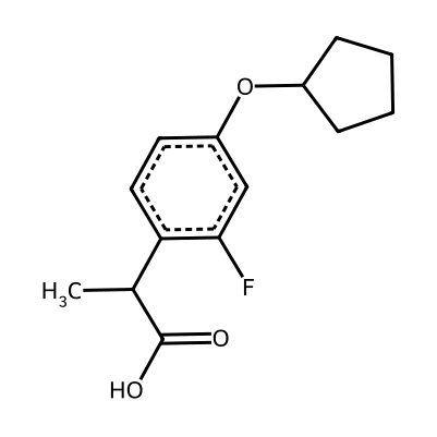 CC(C(=O)O)c1ccc(OC2CCCC2)cc1F